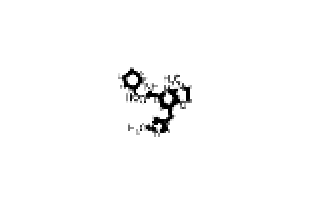 CN1CCOc2c(Cc3cnn(C)c3)cc(C(=O)N[C@H]3CCCC[C@@H]3O)nc21